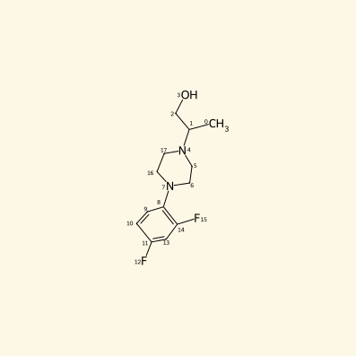 CC(CO)N1CCN(c2ccc(F)cc2F)CC1